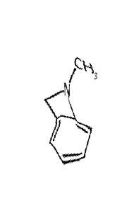 CN1Cc2ccccc21